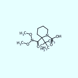 CON(OC)C(=O)C1(C(C)(C)C)CCCCN1C(=O)O